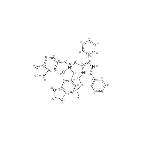 CCCCn1c(-c2ccccc2)nc(-c2ccccc2)c1C[N+]([O-])(Cc1ccc2c(c1)OCO2)Cc1ccc2c(c1)OCO2